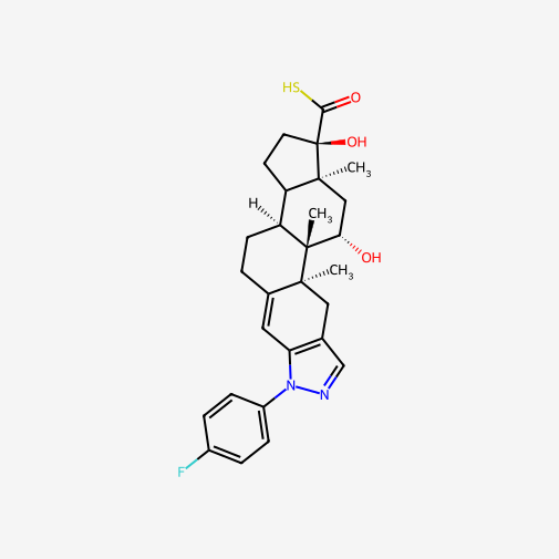 C[C@]12[C@@H](O)C[C@@]3(C)C(CC[C@]3(O)C(=O)S)[C@@H]1CCC1=Cc3c(cnn3-c3ccc(F)cc3)C[C@@]12C